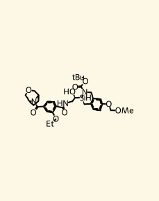 CCOc1cc(C(=O)N2C3CCC2COC3)ccc1C(=O)NC[C@@H](O)[Si@@H]1Cc2ccc(OCOC)cc2CN1C(=O)OC(C)(C)C